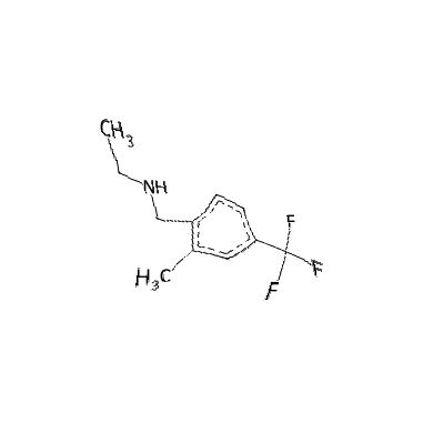 CCNCc1ccc(C(F)(F)F)cc1C